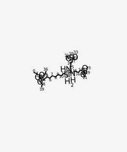 CCO[Si](CCCCCCCC[SiH2]C(NCCC[Si](C)(OC)OC)NCCC[Si](C)(OC)OC)(OCC)OCC